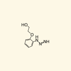 N=NNc1ccccc1OCCO